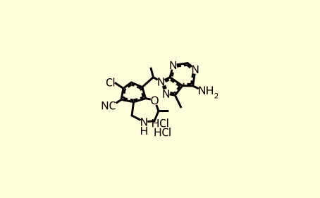 Cc1nn(C(C)c2cc(Cl)c(C#N)c3c2OC(C)CNC3)c2ncnc(N)c12.Cl.Cl